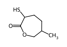 CC1CCC(S)C(=O)OC1